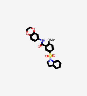 COc1ccc(S(=O)(=O)N2CCc3ccccc32)cc1C(=O)Nc1ccc2c(c1)OCCO2